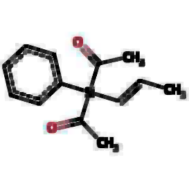 CC=C[Si](C(C)=O)(C(C)=O)c1ccccc1